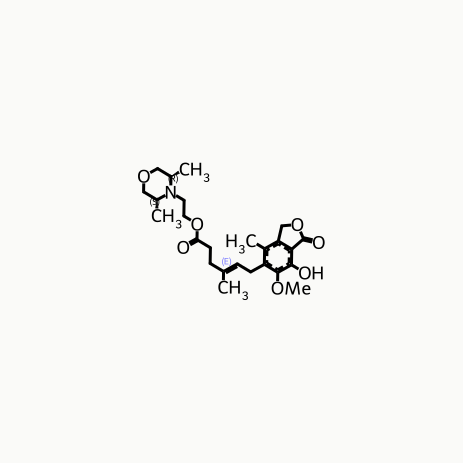 COc1c(O)c2c(c(C)c1C/C=C(\C)CCC(=O)OCCN1[C@H](C)COC[C@@H]1C)COC2=O